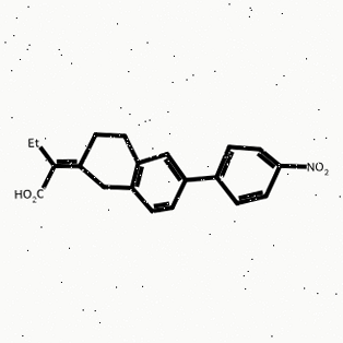 CCC(C(=O)O)=C1CCc2cc(-c3ccc([N+](=O)[O-])cc3)ccc2C1